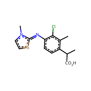 Cc1c(C(C)C(=O)O)ccc(/N=c2\sccn2C)c1Cl